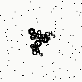 CCS(=O)(=O)N1CCC(c2cccc(C)n2)(C(C)NC(=O)c2ccccc2Cl)CC1